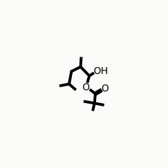 CC(C)CC(C)C(O)OC(=O)C(C)(C)C